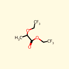 CC(OCC(F)(F)F)C(=O)OCC(F)(F)F